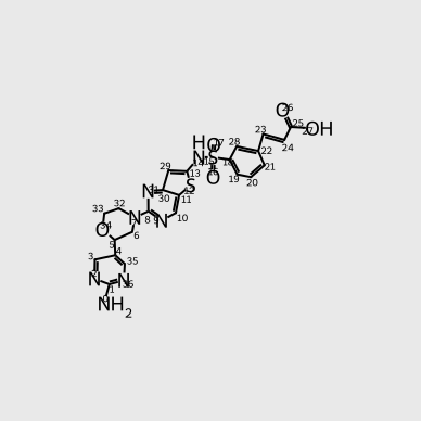 Nc1ncc(C2CN(c3ncc4sc(NS(=O)(=O)c5cccc(C=CC(=O)O)c5)cc4n3)CCO2)cn1